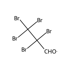 O=[C]C(Br)(Br)C(Br)(Br)Br